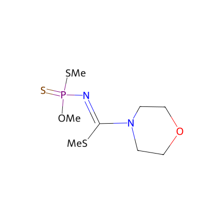 COP(=S)(/N=C(\SC)N1CCOCC1)SC